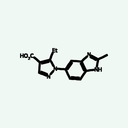 CCc1c(C(=O)O)cnn1-c1ccc2[nH]c(C)nc2c1